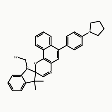 CC(C)CN1c2ccccc2C(C)(C)C12C=Nc1cc(-c3ccc(N4CCCC4)cc3)c3ccccc3c1O2